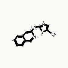 N#Cc1cnc(Nc2cc3ccccc3cn2)s1